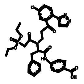 CCOP(=O)(CC(=O)N(CCC(=O)c1cc(Cl)ccc1-n1ccnn1)C(Cc1ccccc1)C(=O)Nc1ccc(C(=O)O)cc1)OCC